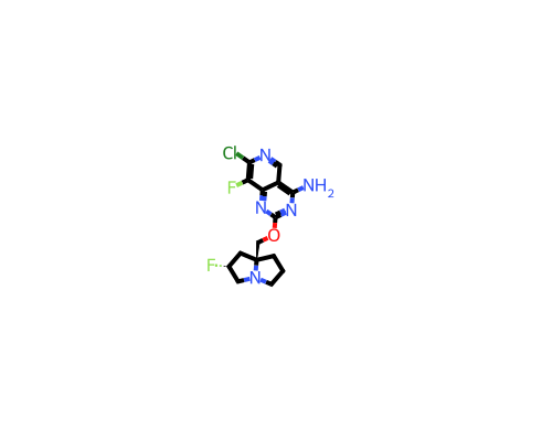 Nc1nc(OC[C@@]23CCCN2C[C@H](F)C3)nc2c(F)c(Cl)ncc12